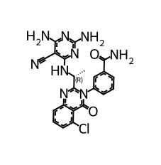 C[C@@H](Nc1nc(N)nc(N)c1C#N)c1nc2cccc(Cl)c2c(=O)n1-c1cccc(C(N)=O)c1